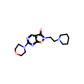 O=c1c2cnc(N3CCOCC3)nc2sn1CCN1CCCCC1